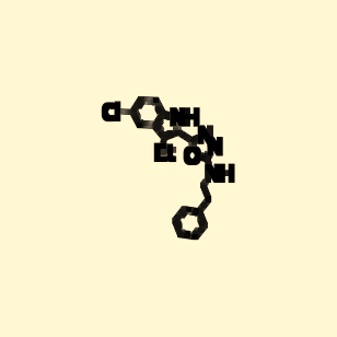 CCc1c(-c2nnc(NCCc3ccccc3)o2)[nH]c2ccc(Cl)cc12